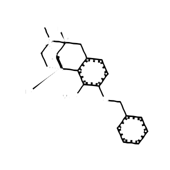 COc1c(OCc2ccccc2)ccc2c1[C@]13CCN(C)[C@H](C2)[C@@H]1C=C[C@H](O)C3